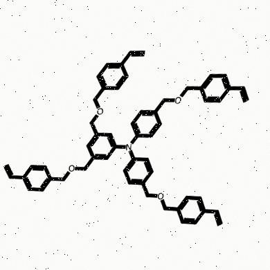 C=Cc1ccc(COCc2ccc(N(c3ccc(COCc4ccc(C=C)cc4)cc3)c3cc(COCc4ccc(C=C)cc4)cc(COCc4ccc(C=C)cc4)c3)cc2)cc1